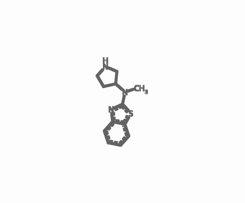 CN(c1nc2ccccc2s1)C1CCNC1